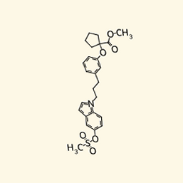 COC(=O)C1(Oc2cccc(CCCn3ccc4cc(OS(C)(=O)=O)ccc43)c2)CCCC1